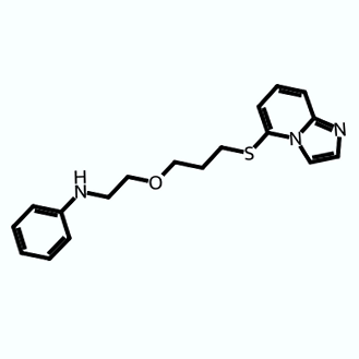 c1ccc(NCCOCCCSc2cccc3nccn23)cc1